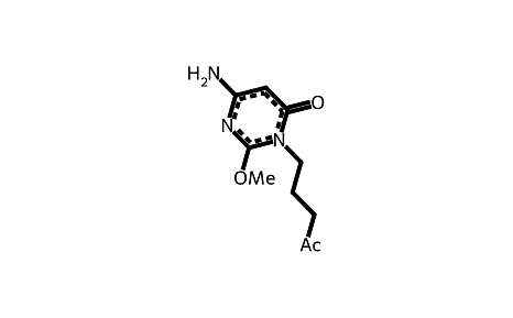 COc1nc(N)cc(=O)n1CCCC(C)=O